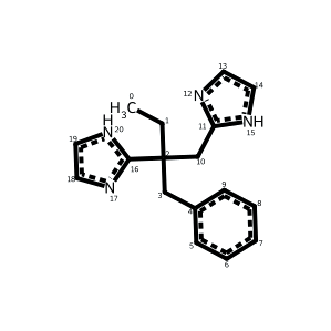 CCC(Cc1ccccc1)(Cc1ncc[nH]1)c1ncc[nH]1